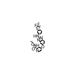 CCONC(=O)c1cc(Oc2ccc3c(c2)nc(Nc2cccc(SC(F)(F)F)c2)n3C)ccn1